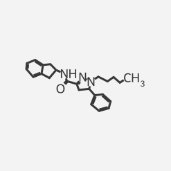 CCCCCN1N=C(C(=O)NC2Cc3ccccc3C2)CC1c1ccccc1